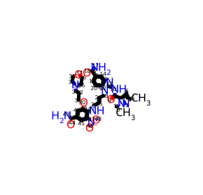 CCn1nc(C)cc1C(=O)Nc1nc2cc(C(N)=O)ccc2n1C/C=C/CNc1c(OCCCN2CCOCC2)cc(C(N)=O)cc1[N+](=O)[O-]